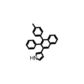 Cc1ccc(-c2c(-c3ccccc3)c(-c3cc[nH]c3)cc3ccccc23)cc1